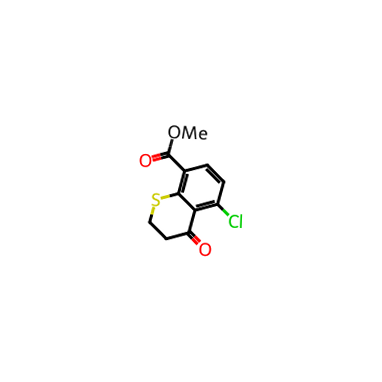 COC(=O)c1ccc(Cl)c2c1SCCC2=O